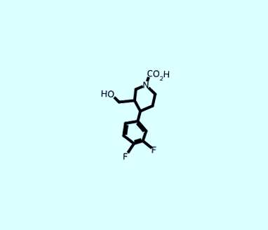 O=C(O)N1CCC(c2ccc(F)c(F)c2)C(CO)C1